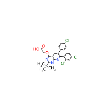 CC(C)(C)c1nc(OCC(=O)O)c2cc(-c3ccc(Cl)cc3)c(-c3ccc(Cl)cc3Cl)nc2n1